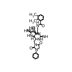 Cc1cccc(C(=O)NC2CN3C(=N)NC(CN4C(=O)CN(c5ccccc5)C4=O)[C@@H]4NC(=N)N[C@@]43C2(O)O)c1C